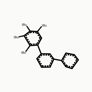 CC(C)(C)c1cc(-c2cccc(-c3ccccc3)c2)c(C(C)(C)C)c(C(C)(C)C)c1C(C)(C)C